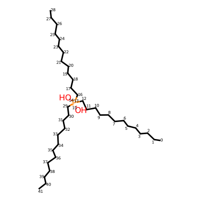 CCCCCCCCCCCCCP(O)(O)(CCCCCCCCCCCCC)CCCCCCCCCCCCC